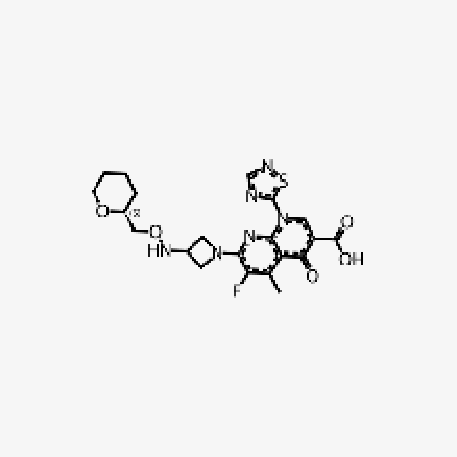 Cc1c(F)c(N2CC(NOC[C@@H]3CCCCO3)C2)nc2c1c(=O)c(C(=O)O)cn2-c1ncns1